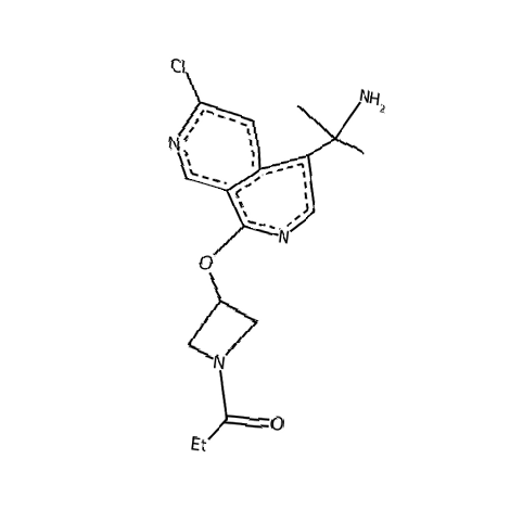 CCC(=O)N1CC(Oc2ncc(C(C)(C)N)c3cc(Cl)ncc23)C1